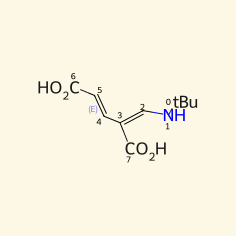 CC(C)(C)NC=C(/C=C/C(=O)O)C(=O)O